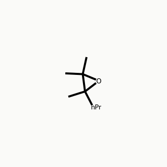 CCCC1(C)OC1(C)C